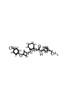 CCn1nnc(NC(=O)N[C@@H]2CCCC[C@@H]2CN2CC(Oc3ccc(Cl)cc3)C2)n1